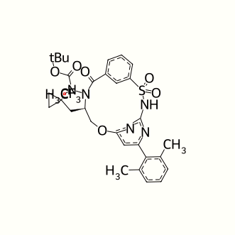 Cc1cccc(C)c1-c1cc2nc(n1)NS(=O)(=O)c1cccc(c1)C(=O)N(N(C)C(=O)OC(C)(C)C)[C@H](CC1(C(F)(F)F)CC1)CO2